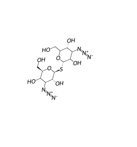 [N-]=[N+]=NC1C(O)[C@H](S[C@@H]2O[C@H](CO)C(O)C(N=[N+]=[N-])[C@H]2O)OC(CO)[C@@H]1O